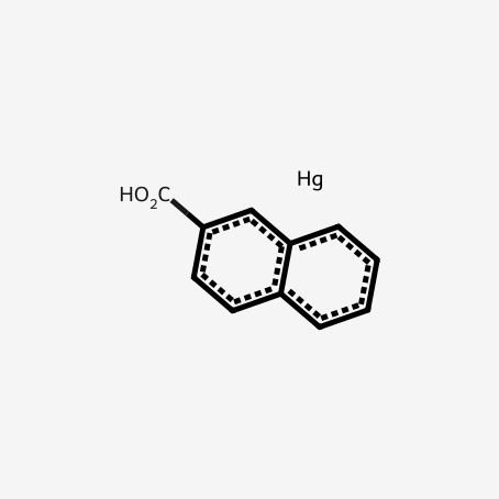 O=C(O)c1ccc2ccccc2c1.[Hg]